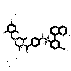 CC1CN(Cc2c(F)cc(F)cc2F)CC(C)N1C(=O)c1ccc(NS(=O)(=O)c2ccc(N)cc2-c2cccc3cccnc23)cc1